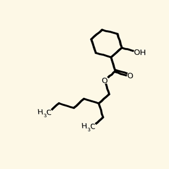 CCCCC(CC)COC(=O)C1CCCCC1O